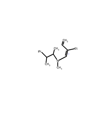 C=C/C(=C\N(C)C(C)C(C)C(C)C)CC